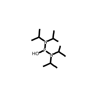 CC(C)N(C(C)C)P(O)N(C(C)C)C(C)C